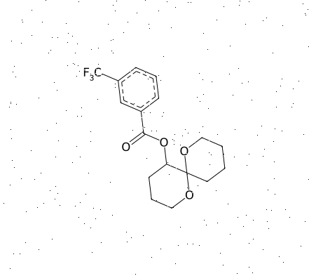 O=C(OC1CCCOC12CCCCO2)c1cccc(C(F)(F)F)c1